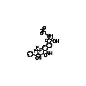 CC(O)(C(=O)NCCS(C)(=O)=O)c1ccc2c3c(ccc2c1)C(c1noc(-c2ccccc2)c1C(F)(F)F)ON3